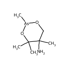 C[As]1OCC(C)(N)C(C)(C)O1